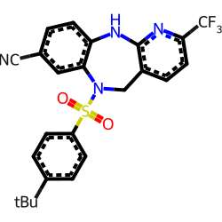 CC(C)(C)c1ccc(S(=O)(=O)N2Cc3ccc(C(F)(F)F)nc3Nc3ccc(C#N)cc32)cc1